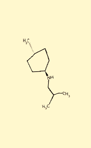 CC(C)CN[C@H]1CC[C@H](C)CC1